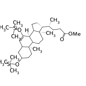 COC(=O)CC[C@@H](C)[C@H]1CCC2[C@@H]3C(O[Si](C)(C)C)=CC4CC(O[Si](C)(C)C)CC[C@]4(C)C3CC[C@@]21C